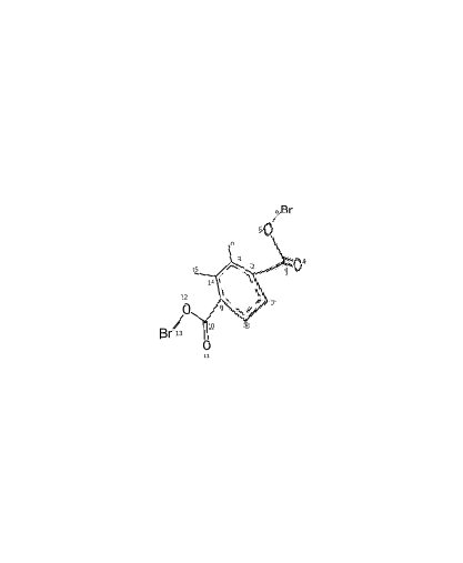 Cc1c(C(=O)OBr)ccc(C(=O)OBr)c1C